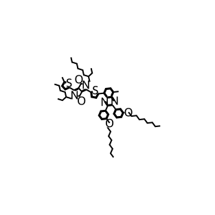 CCCCCCCCOc1cccc(-c2nc3c(C)ccc(-c4ccc(C5=C6C(=O)N(CC(CC)CCCC)C(c7ccc(C)s7)=C6C(=O)N5CC(CC)CCCCCC)s4)c3nc2-c2cccc(OCCCCCCCC)c2)c1